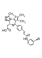 Cc1sc2c(c1C)C(c1ccc(/C=C/C(=O)Nc3cccc(C#N)c3)cc1)=N[C@@H](CC(=O)O)c1nnc(C)n1-2